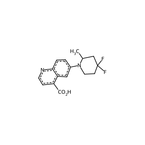 CC1CC(F)(F)CCN1c1ccc2nccc(C(=O)O)c2c1